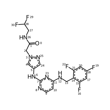 O=C(Cn1cc(Nc2nccc(NCc3c(F)cc(F)cc3F)n2)cn1)NCC(F)F